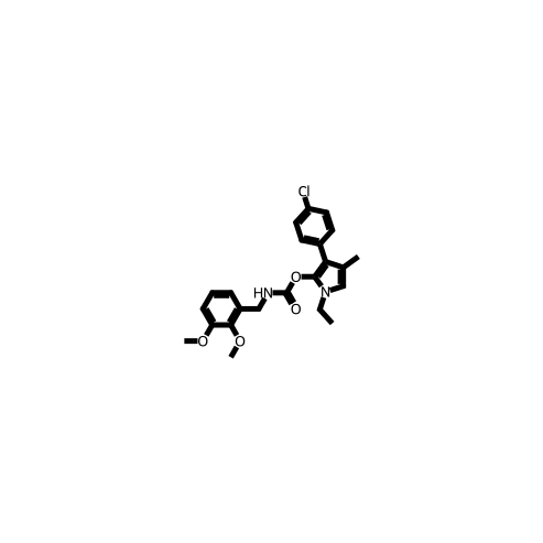 CCn1cc(C)c(-c2ccc(Cl)cc2)c1OC(=O)NCc1cccc(OC)c1OC